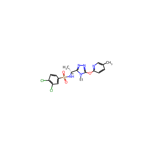 CCn1c(Oc2ccc(C)cn2)nnc1[C@@H](C)NS(=O)(=O)c1ccc(Cl)c(Cl)c1